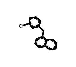 Clc1cccc([C]c2cccc3ccccc23)c1